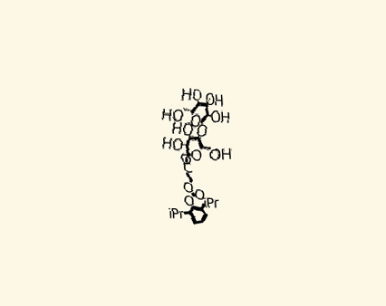 CC(C)c1cccc(C(C)C)c1OC(=O)OCCCO[C@@H]1O[C@H](CO)C(O[C@H]2O[C@H](CO)[C@@H](O)[C@H](O)[C@H]2O)[C@H](O)[C@H]1O